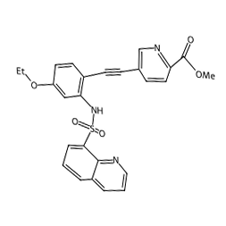 CCOc1ccc(C#Cc2ccc(C(=O)OC)nc2)c(NS(=O)(=O)c2cccc3cccnc23)c1